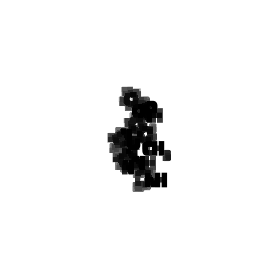 Cc1ccc2c(NS(=O)(=O)CC3CCCC3)cccc2c1Oc1ncccc1-c1ccnc(NC2CCCNC2)n1